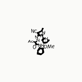 COc1ccccc1NC(=O)C(N=Nc1c(C#N)c(C)nn1-c1ccccn1)C(C)=O